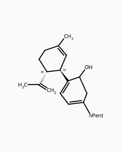 C=C(C)[C@@H]1CCC(C)=C[C@H]1C1=CC=C(CCCCC)CC1O